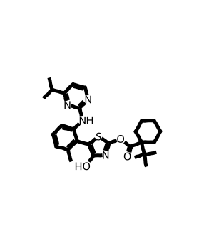 Cc1cccc(Nc2nccc(C(C)C)n2)c1-c1sc(OC(=O)C2(C(C)(C)C)CCCCC2)nc1O